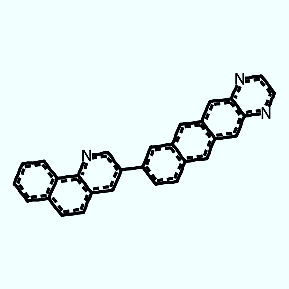 c1ccc2c(c1)ccc1cc(-c3ccc4cc5cc6nccnc6cc5cc4c3)cnc12